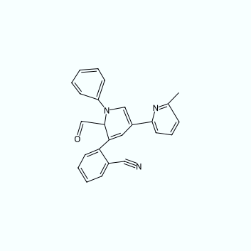 Cc1cccc(C2=CN(c3ccccc3)C(C=O)C(c3ccccc3C#N)=C2)n1